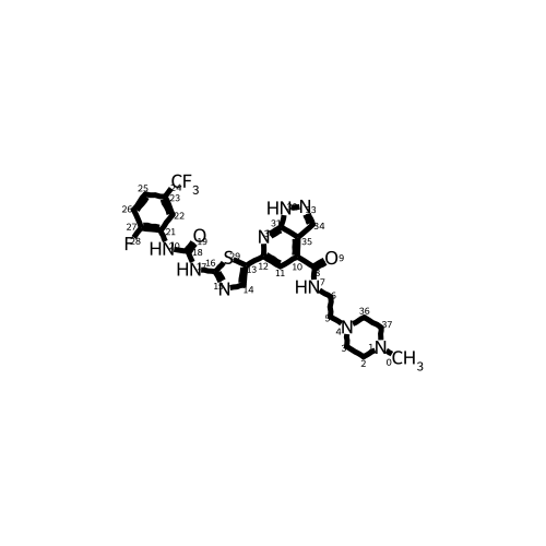 CN1CCN(CCNC(=O)c2cc(-c3cnc(NC(=O)Nc4cc(C(F)(F)F)ccc4F)s3)nc3[nH]ncc23)CC1